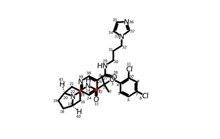 CC(C)(Oc1ccc(Cl)cc1Cl)C(=O)N[C@H]1C[C@H]2CC[C@@H](C1)N2c1ccc(C(=O)NCCCn2ccnc2)cn1